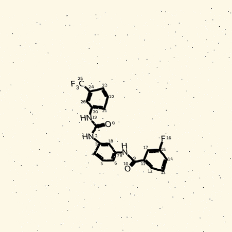 O=C(Nc1cccc(NC(=O)c2cccc(F)c2)c1)Nc1cccc(C(F)(F)F)c1